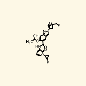 CC(C)Oc1cc2nn(C34COC(CF)(C3)C4)cc2cc1C(=O)Nc1cccn([C@@H]2C[C@@H]2F)c1=O